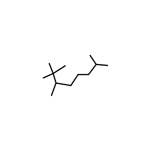 CC(C)CCCC(C)C(C)(C)C